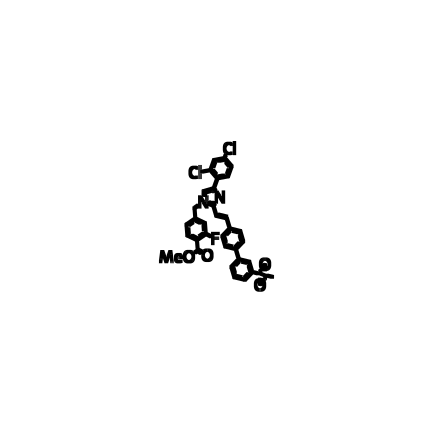 COC(=O)c1ccc(Cn2cc(-c3ccc(Cl)cc3Cl)nc2C=Cc2ccc(-c3cccc(S(C)(=O)=O)c3)cc2)cc1F